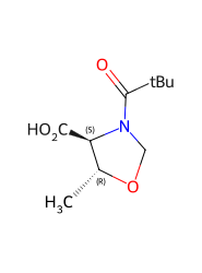 C[C@H]1OCN(C(=O)C(C)(C)C)[C@@H]1C(=O)O